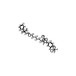 CC1(C)OCc2cc(C3CN(CCCCCCOCCC(F)(F)c4ccccc4)C(=O)O3)ccc2O1